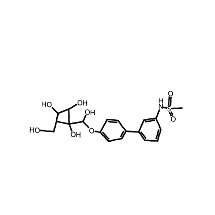 CS(=O)(=O)Nc1cccc(-c2ccc(OC(O)C3(O)C(O)C(O)C3CO)cc2)c1